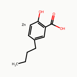 CCCCc1ccc(O)c(C(=O)O)c1.[Zn]